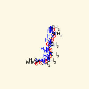 COC(=O)c1cc(NC(=O)c2cc(NC(=O)c3nc(NC(=O)c4cc(NC(=O)[C@@H](N)CCNC(=O)c5nc(NC(=O)CCNC(=O)c6cc(NC(=O)c7nccn7C)cn6C)cn5C)cn4C)cn3C)cn2C)cn1C